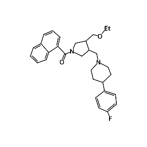 CCOCC1CN(C(=O)c2cccc3ccccc23)CC1CN1CCC(c2ccc(F)cc2)CC1